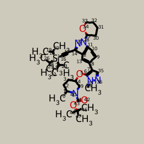 CC1CCC(Oc2c(-c3ccc4c(c3)c(C#C[Si](C(C)C)(C(C)C)C(C)C)nn4C3CCCCO3)cnn2C)CN1C(=O)OC(C)(C)C